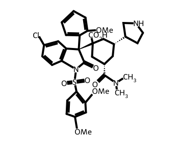 COc1ccc(S(=O)(=O)N2C(=O)[C@](c3ccccc3OC)(C3(C(=O)O)C[C@@H](C(=O)N(C)C)C[C@@H](C4CCNC4)C3)c3cc(Cl)ccc32)c(OC)c1